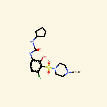 O=C(Nc1ccc(Cl)c(S(=O)(=O)N2CCN(C(=O)O)CC2)c1O)NC1CCCC1